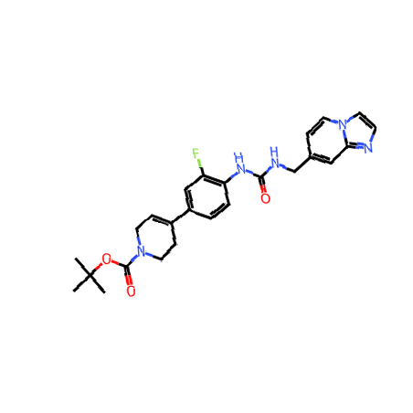 CC(C)(C)OC(=O)N1CC=C(c2ccc(NC(=O)NCc3ccn4ccnc4c3)c(F)c2)CC1